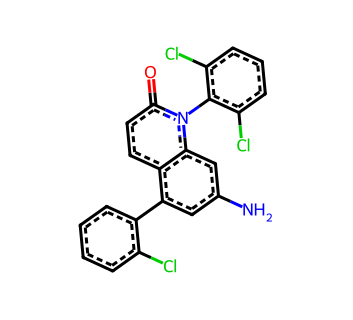 Nc1cc(-c2ccccc2Cl)c2ccc(=O)n(-c3c(Cl)cccc3Cl)c2c1